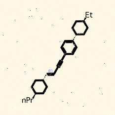 CCC[C@H]1CC[C@H](/C=C/C#Cc2ccc([C@H]3CC[C@H](CC)CC3)cc2)CC1